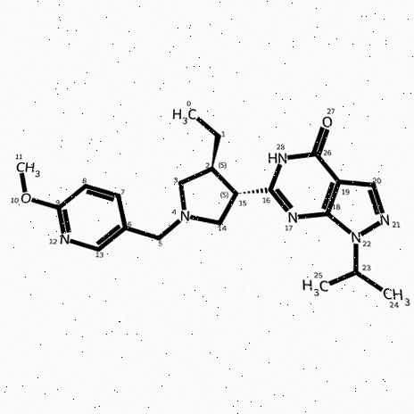 CC[C@@H]1CN(Cc2ccc(OC)nc2)C[C@H]1c1nc2c(cnn2C(C)C)c(=O)[nH]1